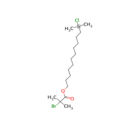 CC(C)(Br)C(=O)OCCCCCCCCCCC[Si](C)(C)Cl